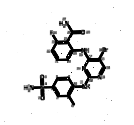 Cc1cc(S(N)(=O)=O)ccc1Nc1ncc(Br)c(Nc2cccc(F)c2C(N)=O)n1